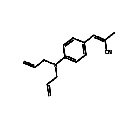 C=CCN(CC=C)c1ccc(/C=C(/C)C#N)cc1